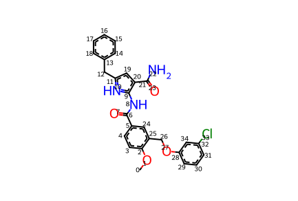 COc1ccc(C(=O)Nc2[nH]c(Cc3ccccc3)cc2C(N)=O)cc1COc1cccc(Cl)c1